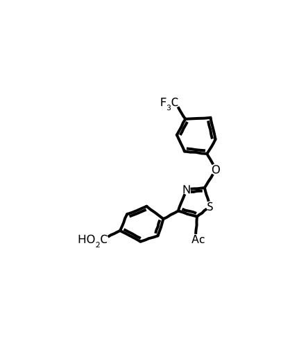 CC(=O)c1sc(Oc2ccc(C(F)(F)F)cc2)nc1-c1ccc(C(=O)O)cc1